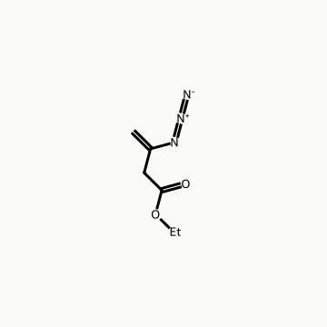 C=C(CC(=O)OCC)N=[N+]=[N-]